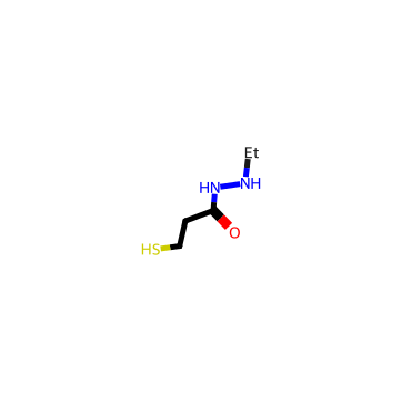 CCNNC(=O)CCS